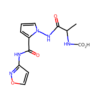 CC(NC(=O)O)C(=O)Nn1cccc1C(=O)Nc1ccon1